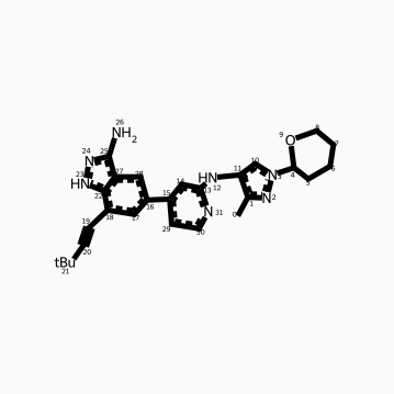 Cc1nn(C2CCCCO2)cc1Nc1cc(-c2cc(C#CC(C)(C)C)c3[nH]nc(N)c3c2)ccn1